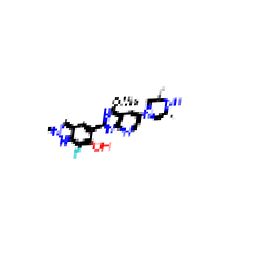 COc1nc(-c2cc3cn(C)nc3c(F)c2O)nc2ncc(N3C[C@@H](C)N[C@@H](C)C3)cc12